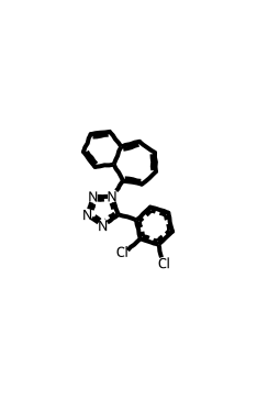 Clc1cccc(-c2nnnn2C2=CC=CC=C3C=CC=CC32)c1Cl